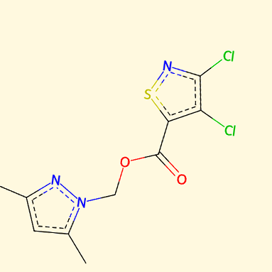 Cc1cc(C)n(COC(=O)c2snc(Cl)c2Cl)n1